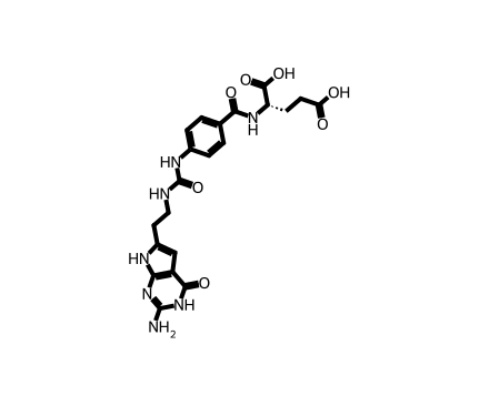 Nc1nc2[nH]c(CCNC(=O)Nc3ccc(C(=O)N[C@@H](CCC(=O)O)C(=O)O)cc3)cc2c(=O)[nH]1